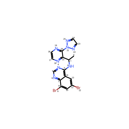 CC(Nc1ncnc2c(Br)cc(Br)cc12)c1nccnc1-n1nccn1